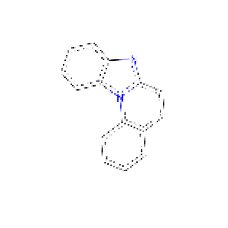 [c]1cccc2nc3ccc4ccccc4n3c12